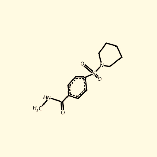 CNC(=O)c1ccc(S(=O)(=O)N2CCCCC2)cc1